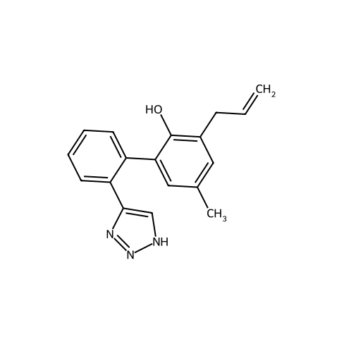 C=CCc1cc(C)cc(-c2ccccc2-c2c[nH]nn2)c1O